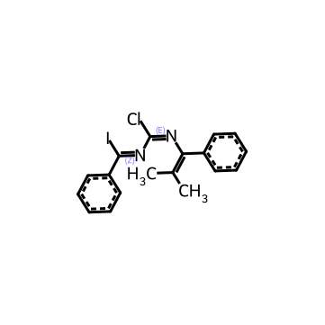 CC(C)=C(/N=C(Cl)\N=C(/I)c1ccccc1)c1ccccc1